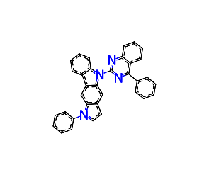 c1ccc(-c2nc(-n3c4ccccc4c4cc5c(ccn5-c5ccccc5)cc43)nc3ccccc23)cc1